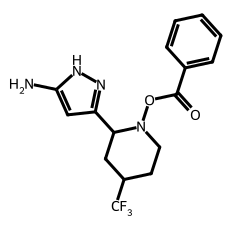 Nc1cc(C2CC(C(F)(F)F)CCN2OC(=O)c2ccccc2)n[nH]1